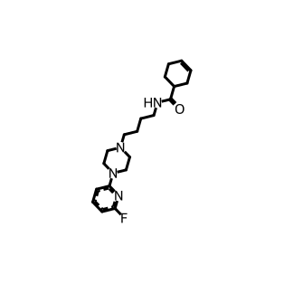 O=C(NCCCCN1CCN(c2cccc(F)n2)CC1)C1CC=CCC1